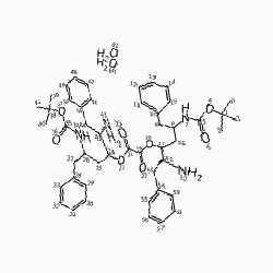 CC(C)(C)OC(=O)NC(Cc1ccccc1)CC(OC(=O)C(=O)OC(CC(Cc1ccccc1)NC(=O)OC(C)(C)C)C(N)Cc1ccccc1)C(N)Cc1ccccc1.O.O